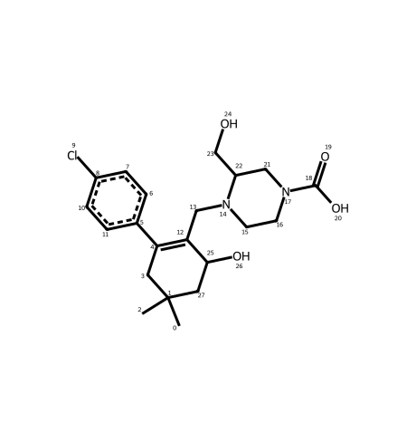 CC1(C)CC(c2ccc(Cl)cc2)=C(CN2CCN(C(=O)O)CC2CO)C(O)C1